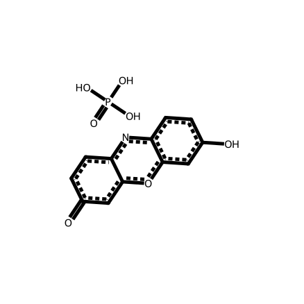 O=P(O)(O)O.O=c1ccc2nc3ccc(O)cc3oc-2c1